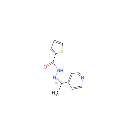 C/C(=N/NC(=O)c1cccs1)c1ccncc1